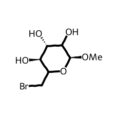 CO[C@H]1OC(CBr)[C@@H](O)[C@H](O)C1O